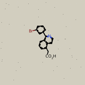 O=C(O)Cc1cccc2c(-c3cccc(Br)c3)nccc12